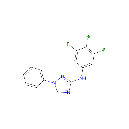 Fc1cc(Nc2ncn(-c3ccccc3)n2)cc(F)c1Br